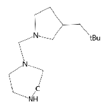 CC(C)(C)CC1CCN(CN2CCNCC2)C1